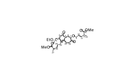 CCOC(=O)c1cc(=O)c2cc(OCC=CC(C)C(=O)OC)c(=O)ccc2n1CC=CC(C)C(=O)OC